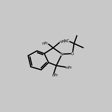 CCCC1(CCC)c2ccccc2C(CCC)(CCC)N1OC(C)(C)C#N